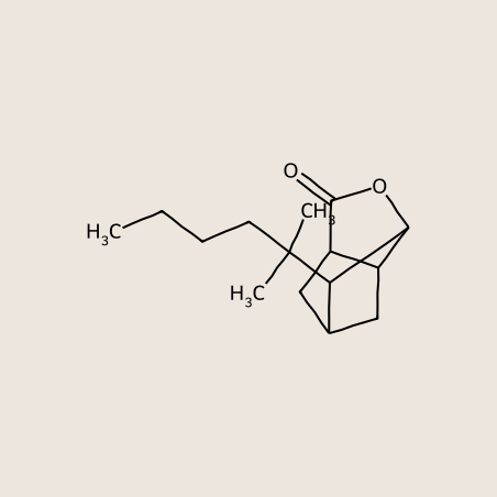 CCCCC(C)(C)C1C2CC3C(=O)OC1C3C2